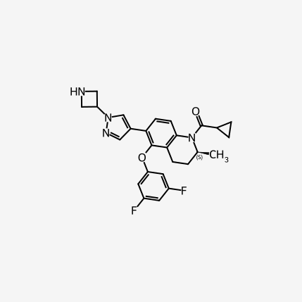 C[C@H]1CCc2c(ccc(-c3cnn(C4CNC4)c3)c2Oc2cc(F)cc(F)c2)N1C(=O)C1CC1